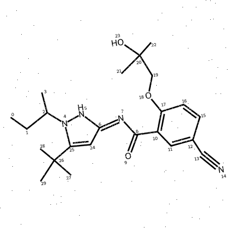 CCC(C)n1[nH]/c(=N/C(=O)c2cc(C#N)ccc2OCC(C)(C)O)cc1C(C)(C)C